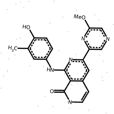 COc1cncc(-c2cc3c(c(Nc4ccc(O)c(C)c4)n2)C(=O)[N]C=C3)n1